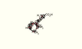 C=C1C[C@@H]2CC[C@@]34CC5(O)O[C@@H]6C(O[C@H]7CC[C@H](CC(=O)O[C@@H]8CC9OC%10C[C@H](C[C@@H]%11O[C@@]%12(CC[C@@H]%11O)C[C@H](N)[C@@H]%11O[C@H](CC(=O)O)CC[C@@H]%11O%12)O[C@@H]%10C[C@@H]9O[C@H]8C[C@H]8O[C@@H](CC[C@@H]1O2)C[C@@H](N)C8=C)O[C@@H]7[C@@H]6O3)[C@@H]5O4